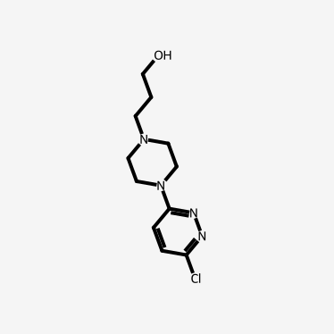 OCCCN1CCN(c2ccc(Cl)nn2)CC1